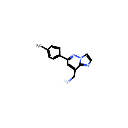 NCc1cc(-c2ccc(C(F)(F)F)cc2)nn2ccnc12